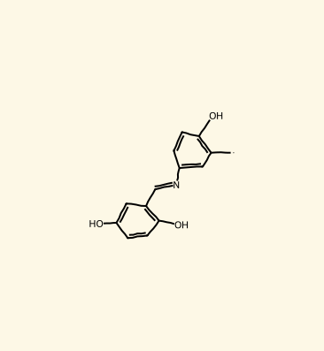 [CH2]c1cc(N=Cc2cc(O)ccc2O)ccc1O